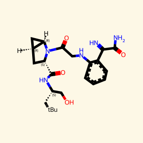 CC(C)(C)C[C@@H](CO)NC(=O)[C@@H]1C[C@H]2C[C@H]2N1C(=O)CNc1ccccc1C(=N)C(N)=O